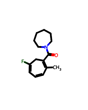 CC1=C(C(=O)N2CCCCCC2)CC(F)=CC=C1